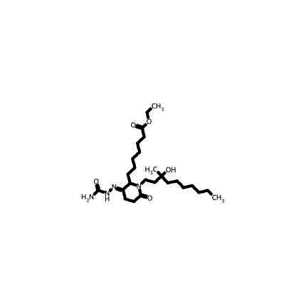 CCCCCCCC(C)(O)CCN1C(=O)CCC(=NNC(N)=O)C1CCCCCCC(=O)OCC